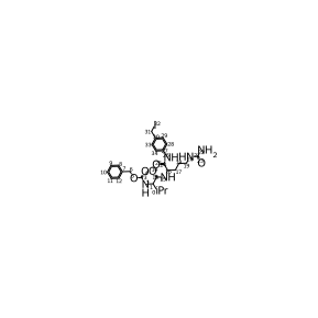 CC(C)C(NC(=O)OCc1ccccc1)C(=O)NC(CCCNC(N)=O)C(=O)Nc1ccc(CI)cc1